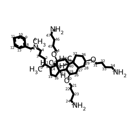 CC(CCCN(C)Cc1ccccc1)C1CC[C@H]2C3[C@H](OCCCCN)CC4C[C@H](OCCCCN)CCC4(C)[C@H]3C[C@H](OCCCCN)C12C